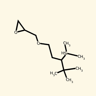 C[SiH](C)C(CCOCC1CO1)C(C)(C)C